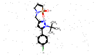 CC(C)(C)n1nc(CN2CC=CS2(=O)=O)cc1-c1ccc(F)cc1